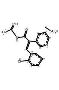 CS(=O)(=O)O.N=C(N)NC(=O)/C(=C/c1ccccc1Cl)c1cccnc1